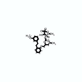 COc1cccc(CCc2ccccc2OCC(CN(C)C)OCOP(=O)(OC)C(O)C(Cl)(Cl)Cl)c1